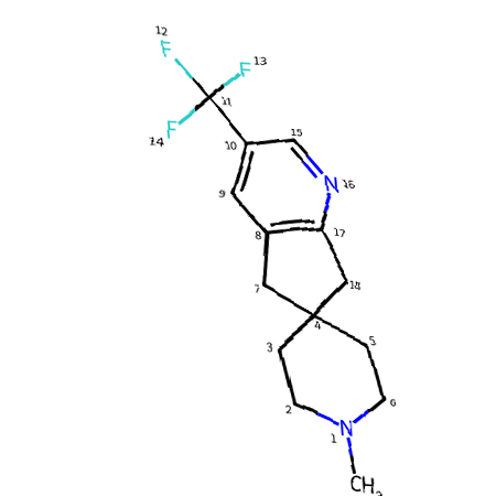 CN1CCC2(CC1)Cc1cc(C(F)(F)F)cnc1C2